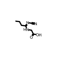 CCCC(=NC#N)NCC(=O)O